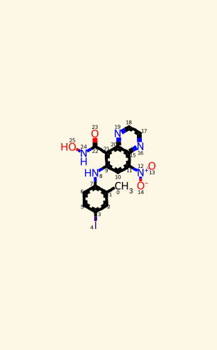 Cc1cc(I)ccc1Nc1cc([N+](=O)[O-])c2nccnc2c1C(=O)NO